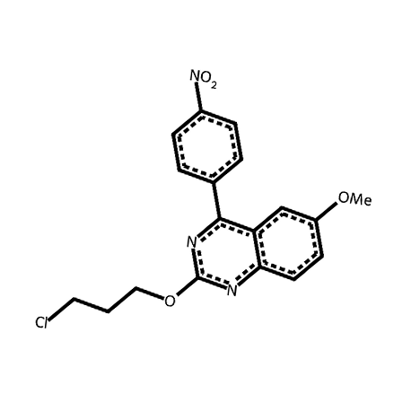 COc1ccc2nc(OCCCCl)nc(-c3ccc([N+](=O)[O-])cc3)c2c1